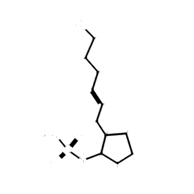 CCCCCCS(=O)(=O)NC1CCCC1CC=CCCCC(=O)O